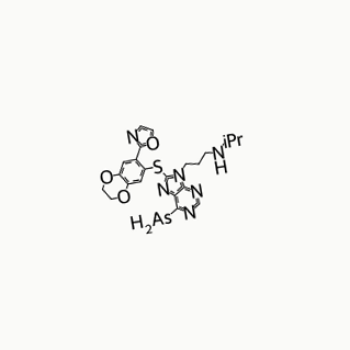 CC(C)NCCCn1c(Sc2cc3c(cc2-c2ncco2)OCCO3)nc2c([AsH2])ncnc21